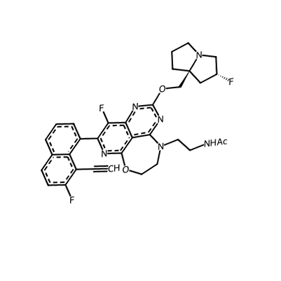 C#Cc1c(F)ccc2cccc(-c3nc4c5c(nc(OC[C@@]67CCCN6C[C@H](F)C7)nc5c3F)N(CCNC(C)=O)CCO4)c12